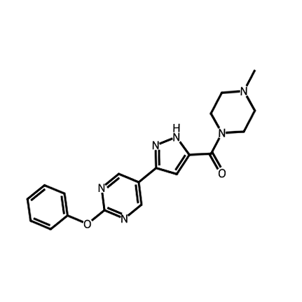 CN1CCN(C(=O)c2cc(-c3cnc(Oc4ccccc4)nc3)n[nH]2)CC1